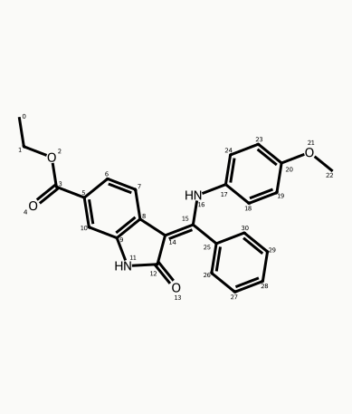 CCOC(=O)c1ccc2c(c1)NC(=O)C2=C(Nc1ccc(OC)cc1)c1ccccc1